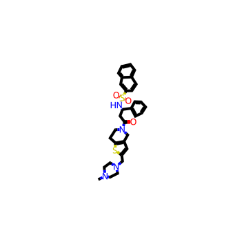 CN1CCN(Cc2cc3c(s2)CCN(C(=O)CC(NS(=O)(=O)c2ccc4ccccc4c2)c2ccccc2)C3)CC1